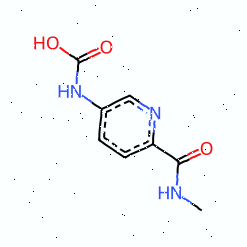 CNC(=O)c1ccc(NC(=O)O)cn1